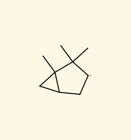 CC1(C)[CH]CC2CC21C